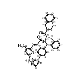 Cc1nc(C=CC(=O)N(Cc2ccc(-n3ccnn3)cc2)[C@@H](Cc2ccccc2)C(=O)N2CCc3ccccc3C2)c(C)o1